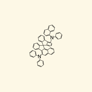 c1ccc(N(c2ccccc2)c2cc3ccccc3c3c2-c2ccccc2C32c3ccccc3-c3c(N(c4ccccc4)c4cccc5ccccc45)cccc32)cc1